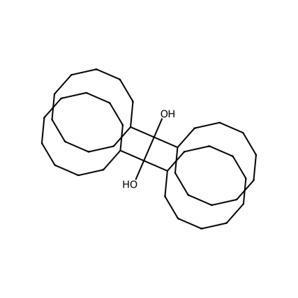 OC(C1CCCCCCCCC1)(C1CCCCCCCCC1)C(O)(C1CCCCCCCCC1)C1CCCCCCCCC1